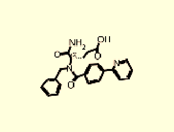 NC(=O)[C@H](CCC(=O)O)N(Cc1ccccc1)C(=O)c1ccc(-c2ccccn2)cc1